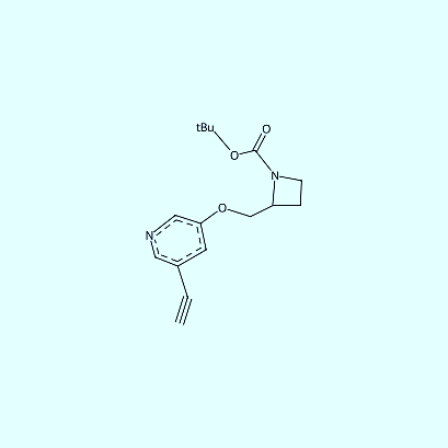 C#Cc1cncc(OCC2CCN2C(=O)OC(C)(C)C)c1